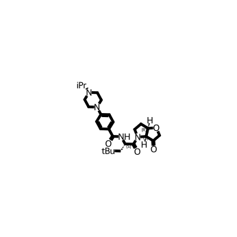 CC(C)N1CCN(c2ccc(C(=O)N[C@@H](CC(C)(C)C)C(=O)N3CC[C@H]4OCC(=O)[C@H]43)cc2)CC1